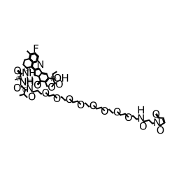 CC[C@@]1(O)C(=O)OCC2=C1C=C1c3nc4cc(F)c(C)c5c4c(c3CC1C2=O)[C@@H](NC(=O)[C@H](C)NC(=O)[C@@H](NC(=O)CCOCCOCCOCCOCCOCCOCCOCCOCCNC(=O)CCN1C(=O)C=CC1=O)C(C)C)CC5